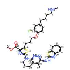 CNCCCCc1ccc(OCCCc2sc(N3CCCc4c3nnc(Nc3nc5ccccc5s3)c4C)nc2C(=O)OC)c(F)c1